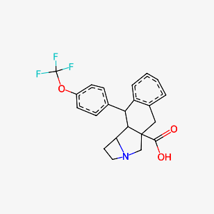 O=C(O)C12Cc3ccccc3C(c3ccc(OC(F)(F)F)cc3)C1C1CCN1C2